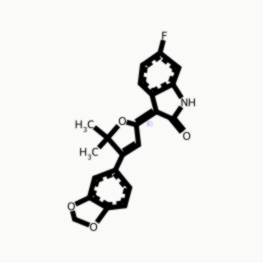 CC1(C)O/C(=C2/C(=O)Nc3cc(F)ccc32)C=C1c1ccc2c(c1)OCO2